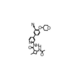 CC(=O)NC1CC(C)C1C(=O)Nc1cc(-c2ccc(OC3CCOCC3)c(C#N)c2)ccn1